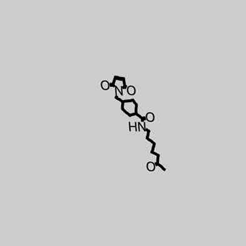 CC(=O)CCCCCNC(=O)C1CCC(CN2C(=O)C=CC2=O)CC1